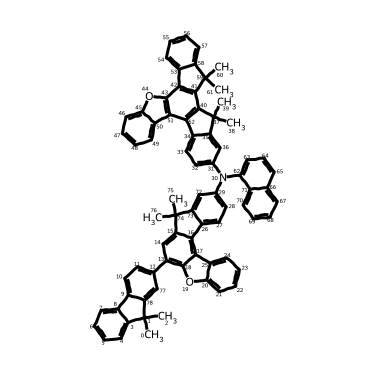 CC1(C)c2ccccc2-c2ccc(-c3cc4c(c5c3oc3ccccc35)-c3ccc(N(c5ccc6c(c5)C(C)(C)c5c7c(c8oc9ccccc9c8c5-6)-c5ccccc5C7(C)C)c5cccc6ccccc56)cc3C4(C)C)cc21